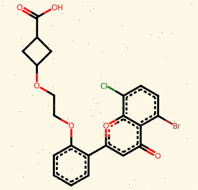 O=C(O)C1CC(OCCOc2ccccc2-c2cc(=O)c3c(Br)ccc(Cl)c3o2)C1